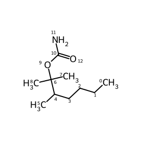 CCCCC(C)C(C)(C)OC(N)=O